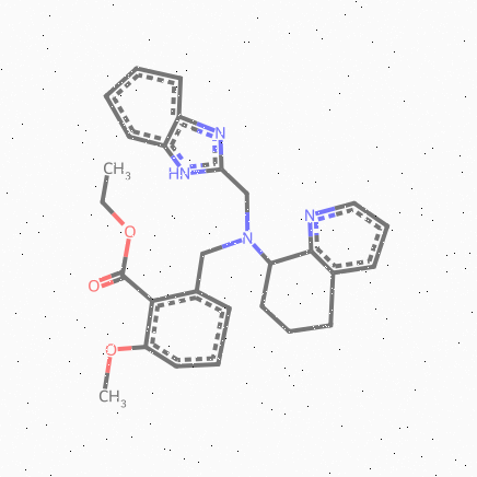 CCOC(=O)c1c(CN(Cc2nc3ccccc3[nH]2)C2CCCc3cccnc32)cccc1OC